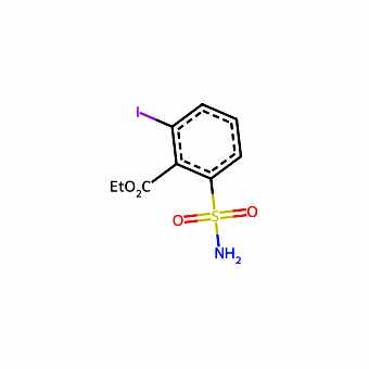 CCOC(=O)c1c(I)cccc1S(N)(=O)=O